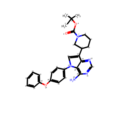 CC(C)(C)OC(=O)N1CCCC(c2cn(-c3ccc(Oc4ccccc4)cc3)c3c(N)ncnc23)C1